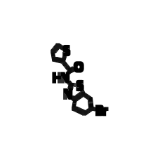 O=C(Nc1nc2ccc(Br)cc2s1)c1cccs1